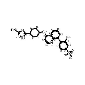 CC(C)c1noc(C2CCC(Oc3ccnc4c(-c5ccc(S(C)(=O)=O)cc5F)cccc34)CC2)n1